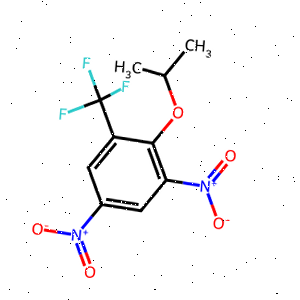 CC(C)Oc1c([N+](=O)[O-])cc([N+](=O)[O-])cc1C(F)(F)F